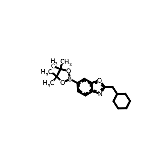 CC1(C)OB(c2ccc3nc(CC4CCCCC4)oc3c2)OC1(C)C